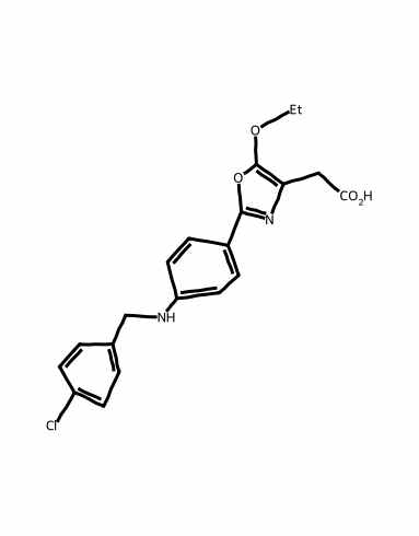 CCOc1oc(-c2ccc(NCc3ccc(Cl)cc3)cc2)nc1CC(=O)O